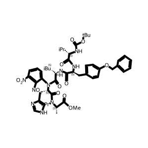 CCCN(C(=O)[C@H](Cc1c[nH]cn1)N(C(=O)[C@@H](NC(=O)[C@H](Cc1ccc(OCc2ccccc2)cc1)NC(=O)[C@@H](NC(=O)OC(C)(C)C)C(C)C)[C@@H](C)CC)c1cccc([N+](=O)[O-])c1[N+](=O)[O-])[C@@H](C)C(=O)OC